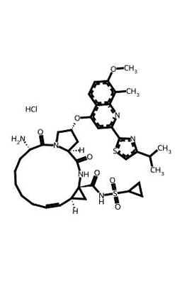 COc1ccc2c(O[C@@H]3C[C@H]4C(=O)N[C@]5(C(=O)NS(=O)(=O)C6CC6)C[C@H]5C=CCCCCC[C@H](N)C(=O)N4C3)cc(-c3nc(C(C)C)cs3)nc2c1C.Cl